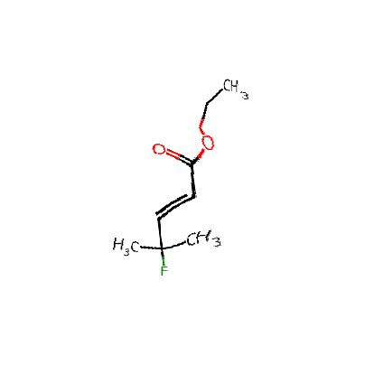 CCOC(=O)/C=C/C(C)(C)F